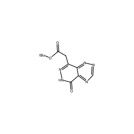 CC(C)(C)OC(=O)Cc1n[nH]c(=O)c2ncnnc12